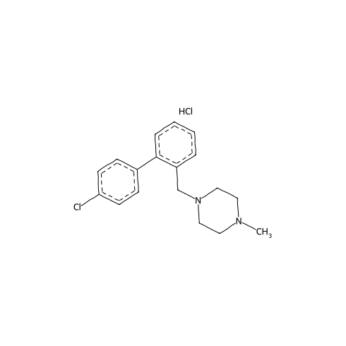 CN1CCN(Cc2ccccc2-c2ccc(Cl)cc2)CC1.Cl